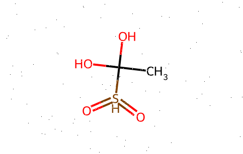 CC(O)(O)[SH](=O)=O